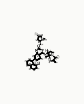 C=C(F)C(=O)N1CC[C@@H]2[C@H]1CN2c1nc(OC[C@@H]2C[C@@H](F)CN2C)nc2cc(-c3cccc4cccc(Cl)c34)ccc12